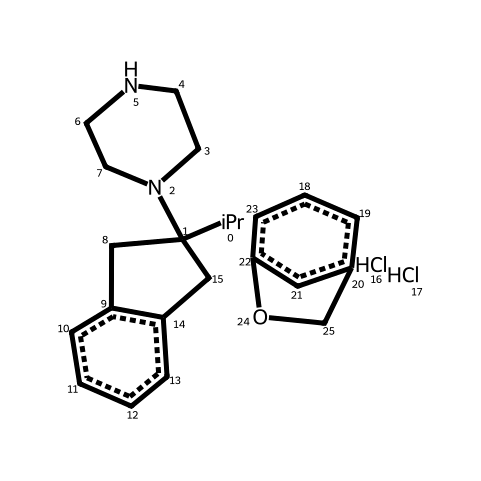 CC(C)C1(N2CCNCC2)Cc2ccccc2C1.Cl.Cl.c1cc2cc(c1)OC2